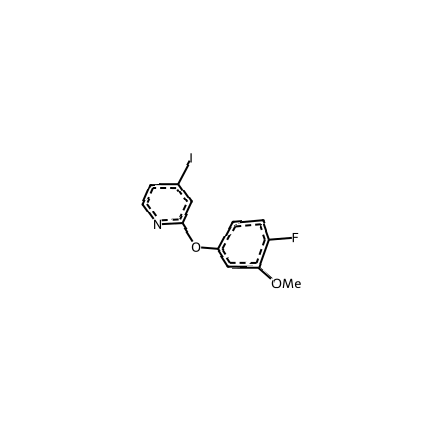 COc1cc(Oc2cc(I)ccn2)ccc1F